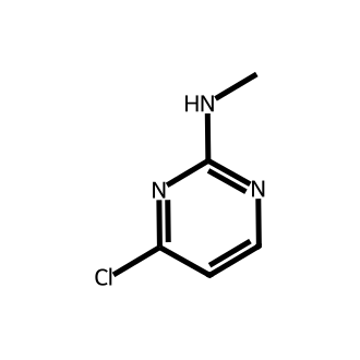 CNc1nccc(Cl)n1